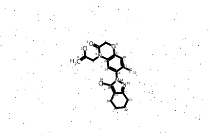 C=C(Cl)CN1C(=O)COc2cc(F)c(-n3nc4c(c3Cl)CCCC4)cc21